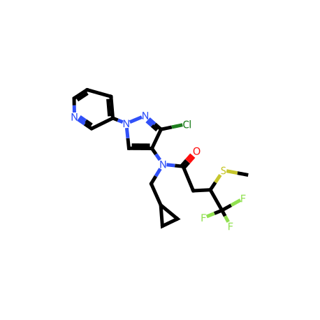 CSC(CC(=O)N(CC1CC1)c1cn(-c2cccnc2)nc1Cl)C(F)(F)F